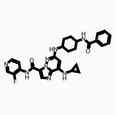 O=C(NC1CCC(Nc2cc(NC3CC3)c3ncc(C(=O)Nc4ccncc4F)n3n2)CC1)c1ccccc1